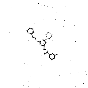 Cc1cccc(-c2csc(-c3cc(N4CCOCC4)nc(OCCc4ccccn4)n3)n2)c1